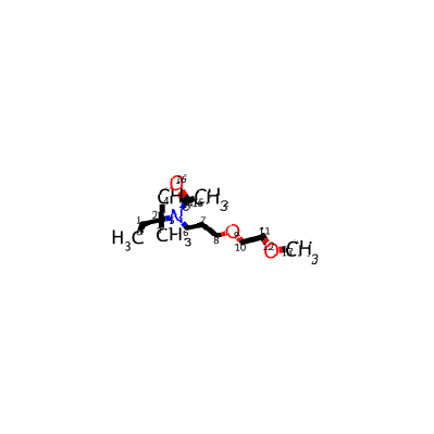 CCC(C)(C)N(CCCOCCOC)C(C)=O